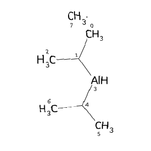 C[CH](C)[AlH][CH](C)C.[CH3]